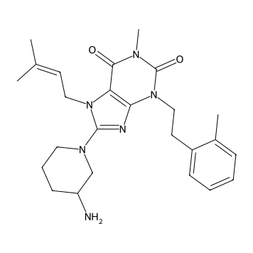 CC(C)=CCn1c(N2CCCC(N)C2)nc2c1c(=O)n(C)c(=O)n2CCc1ccccc1C